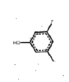 [CH2]c1cc(O)cc(F)c1